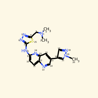 CN(C)Cc1nnc(Nc2ccc3ncc(-c4cnn(C)c4)cc3n2)s1